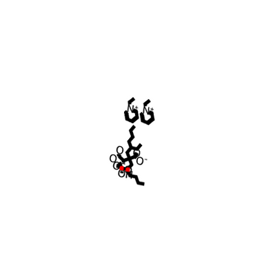 CCCCC(CC)CC(CC(CC)CCCC)(C(=O)[O-])C(C(=O)[O-])S(=O)(=O)O.CC[n+]1ccccc1.CC[n+]1ccccc1